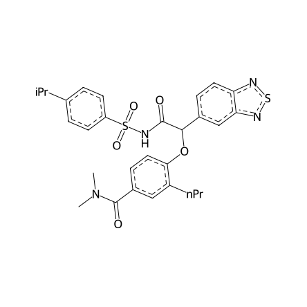 CCCc1cc(C(=O)N(C)C)ccc1OC(C(=O)NS(=O)(=O)c1ccc(C(C)C)cc1)c1ccc2nsnc2c1